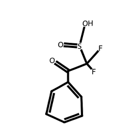 O=C(c1ccccc1)C(F)(F)S(=O)O